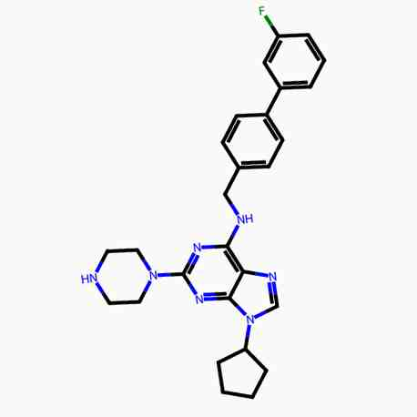 Fc1cccc(-c2ccc(CNc3nc(N4CCNCC4)nc4c3ncn4C3CCCC3)cc2)c1